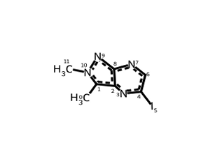 Cc1c2nc(I)cnc2nn1C